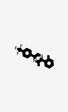 Cc1ccccc1-c1ncc(-c2ccc(C(F)(F)F)cc2)nc1C